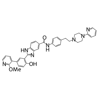 COc1ncccc1-c1ccc(O)c(-c2nc3cc(C(=O)Nc4ccc(CCN5CCN(c6ccccn6)CC5)cc4)ccc3[nH]2)c1